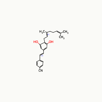 CC(C)=CCC/C(C)=C/Cc1c(O)cc(/C=C/c2ccc(C#N)cc2)cc1O